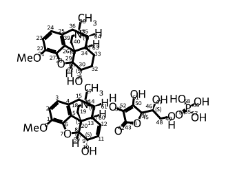 COc1ccc2c3c1O[C@H]1[C@@H](O)C=C[C@H]4[C@@H](C2)N(C)CC[C@@]341.COc1ccc2c3c1O[C@H]1[C@@H](O)CC[C@H]4[C@@H](C2)N(C)CC[C@@]341.O=C1O[C@H]([C@@H](O)CO)C(O)=C1O.O=P(O)(O)O